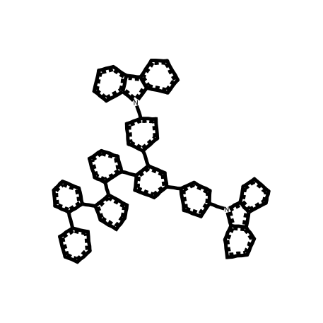 c1ccc(-c2ccccc2-c2ccccc2-c2ccccc2-c2ccc(-c3ccc(-n4c5ccccc5c5ccccc54)cc3)cc2-c2ccc(-n3c4ccccc4c4ccccc43)cc2)cc1